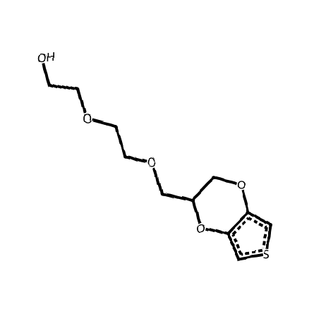 OCCOCCOCC1COc2cscc2O1